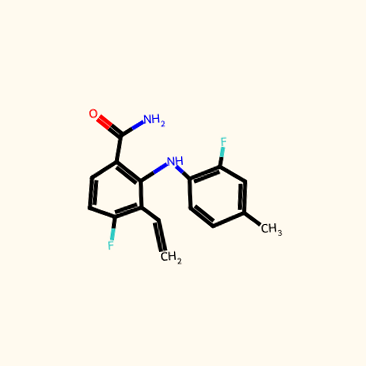 C=Cc1c(F)ccc(C(N)=O)c1Nc1ccc(C)cc1F